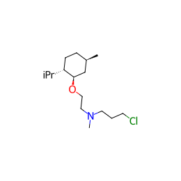 CC(C)[C@@H]1CC[C@@H](C)C[C@H]1OCCN(C)CCCCl